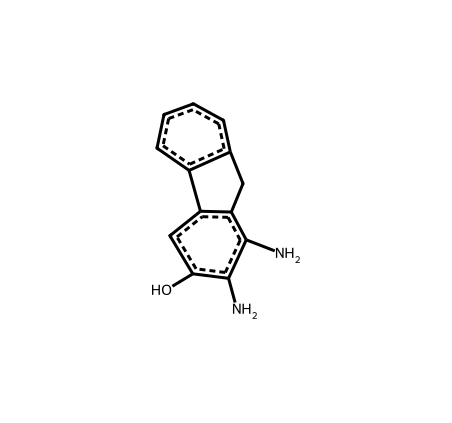 Nc1c(O)cc2c(c1N)Cc1ccccc1-2